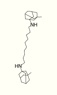 CC12CC3CC(C1)CC(NCCCCCCCCCCNC14CC5CC(CC(C)(C5)C1)C4)(C3)C2